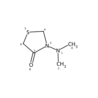 CN(C)N1CSCC1=O